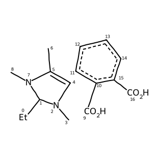 CCC1N(C)C=C(C)N1C.O=C(O)c1ccccc1C(=O)O